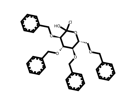 OC1(Cl)O[C@H](COCc2ccccc2)[C@@H](OCc2ccccc2)[C@H](OCc2ccccc2)[C@H]1OCc1ccccc1